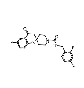 O=C1CC2(CCN(C(=O)NCc3ccc(F)cc3F)CC2)Sc2ccc(F)cc21